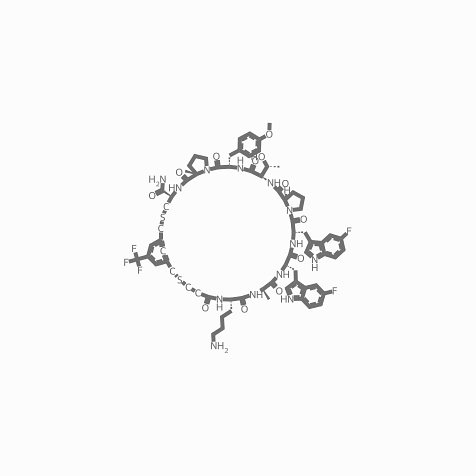 COc1ccc(C[C@@H]2NC(=O)[C@H]([C@@H](C)O)NC(=O)[C@@H]3CCCN3C(=O)[C@H](Cc3c[nH]c4ccc(F)cc34)NC(=O)[C@H](Cc3c[nH]c4ccc(F)cc34)NC(=O)[C@@H](C)NC(=O)[C@H](CCCCN)NC(=O)CCSCc3cc(cc(C(F)(F)F)c3)CSC[C@@H](C(N)=O)NC(=O)[C@]3(C)CCCN3C2=O)cc1